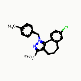 CCOC(=O)c1nn(Cc2ccc(C)cc2)c2c1CCCc1cc(Cl)ccc1-2